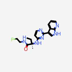 CC[C@@](C)(Nc1ccnc(-c2c[nH]c3ncccc23)n1)C(=O)NCCF